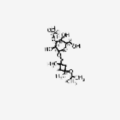 CC(C)OC1(C)CC(C)(COC2OC(CO)C(O)C(O[PH](=O)O)C2O)C1